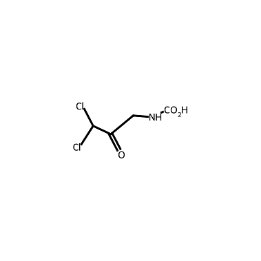 O=C(O)NCC(=O)C(Cl)Cl